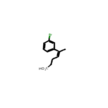 C/C(=C/CCC(=O)O)c1cccc(Br)c1